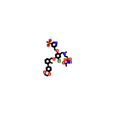 CC(=O)NS(=O)(=O)CCN(C)Cc1cc(Cl)c(OCc2cccc(-c3ccc4c(c3)OCCO4)c2C)cc1OCc1cncc(S(C)(=O)=O)c1